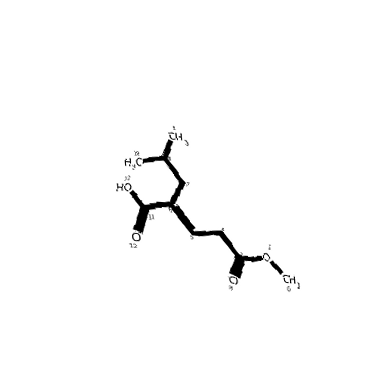 COC(=O)C/C=C(\CC(C)C)C(=O)O